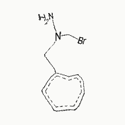 NN(Br)Cc1ccccc1